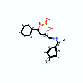 C[C@@H](NC[C@@H](O)CC(OP=O)C1CCCCC1)c1ccc(C#N)cc1